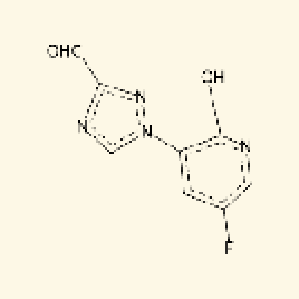 O=Cc1ncn(-c2cc(F)cnc2O)n1